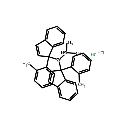 Cc1ccccc1[C]1([Zr]([SiH](C)C)[C]2(c3ccccc3C)C=Cc3ccccc32)C=Cc2ccccc21.Cl.Cl